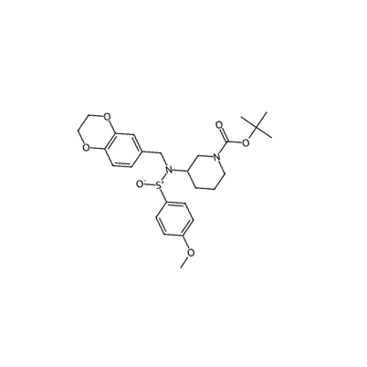 COc1ccc([S+]([O-])N(Cc2ccc3c(c2)OCCO3)C2CCCN(C(=O)OC(C)(C)C)C2)cc1